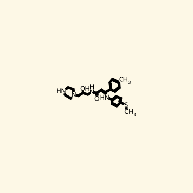 CSc1ccc(N/C(=C\C(=O)NCC(O)CN2CCNCC2)c2ccc(C)cc2)cc1